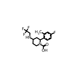 Cc1cc(F)ccc1C1CC(NCC(F)(F)F)CCN1C(=O)O